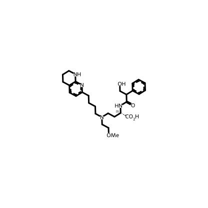 COCCN(CCCCc1ccc2c(n1)NCCC2)CC[C@H](NC(=O)C(CO)c1ccccc1)C(=O)O